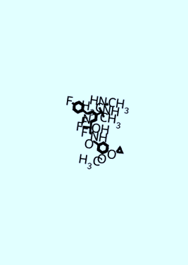 COc1cc(C(=O)NCC(O)(c2cc(C(C)(C)NC(C)=N)cc(-c3ccc(F)cc3)n2)C(F)(F)F)ccc1OC1CC1